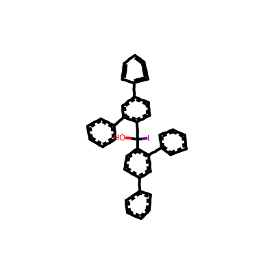 OC(I)(c1ccc(C2=C=C=CC=C2)cc1-c1ccccc1)c1ccc(-c2ccccc2)cc1-c1ccccc1